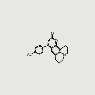 CC(=O)c1ccc(-c2cc(=O)oc3c4c5c(cc23)CCCN5CCC4)cc1